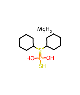 OP(O)(S)=S(C1CCCCC1)C1CCCCC1.[MgH2]